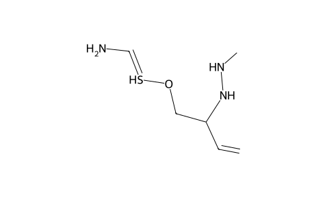 C=CC(CO[SH]=CN)NNC